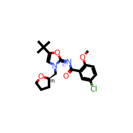 COc1ccc(Cl)cc1C(=O)/N=c1/oc(C(C)(C)C)cn1C[C@H]1CCCO1